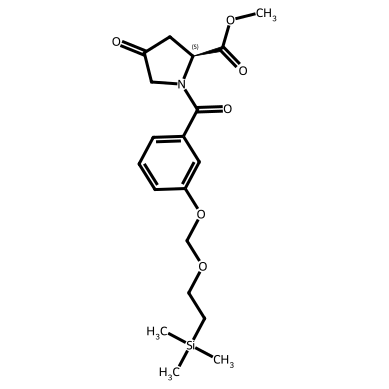 COC(=O)[C@@H]1CC(=O)CN1C(=O)c1cccc(OCOCC[Si](C)(C)C)c1